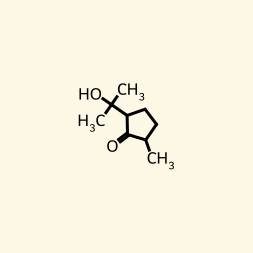 CC1CCC(C(C)(C)O)C1=O